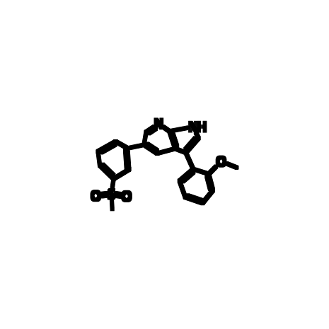 COc1ccccc1-c1c[nH]c2ncc(-c3cccc(S(C)(=O)=O)c3)cc12